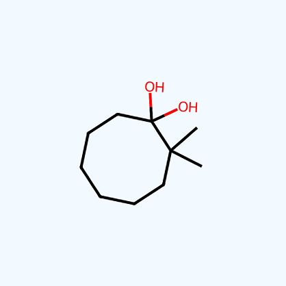 CC1(C)CCCCCCC1(O)O